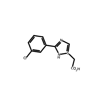 O=C(O)CS1=CN=C(c2cccc(Cl)c2)N1